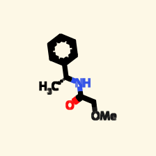 COCC(=O)N[C@H](C)c1ccccc1